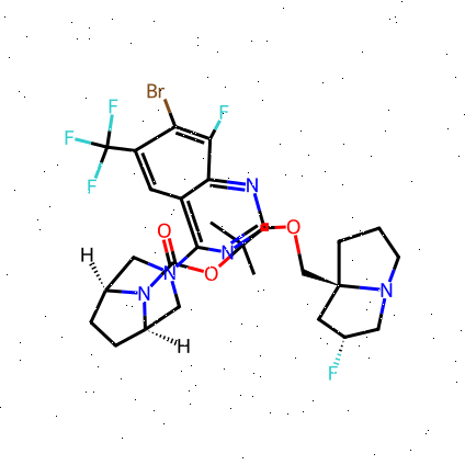 CC(C)(C)OC(=O)N1[C@@H]2CC[C@H]1CN(c1nc(OC[C@@]34CCCN3C[C@H](F)C4)nc3c(F)c(Br)c(C(F)(F)F)cc13)C2